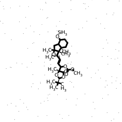 COC(=O)OC(C=C[C@@H](C)[C@]1(C)C(C)(C)CC2C(O[SiH3])CCC[C@]21C)[C@@]1(C)O[C@H](C(C)(C)C)OC1=O